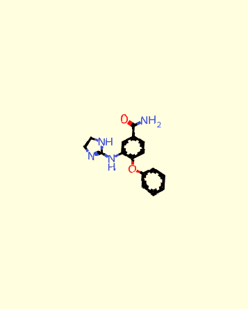 NC(=O)c1ccc(Oc2ccccc2)c(NC2=NCCN2)c1